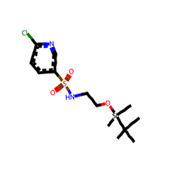 CC(C)(C)[Si](C)(C)OCCNS(=O)(=O)c1ccc(Cl)nc1